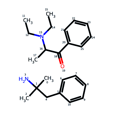 CC(C)(N)Cc1ccccc1.CCN(CC)C(C)C(=O)c1ccccc1